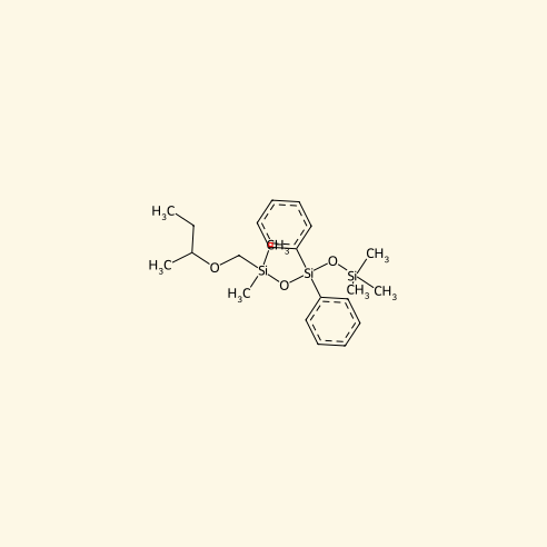 CCC(C)OC[Si](C)(C)O[Si](O[Si](C)(C)C)(c1ccccc1)c1ccccc1